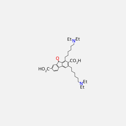 CCN(CC)CCCCCCc1cc2c(c(CCCCCCN(CC)CC)c1C(=O)O)C(=O)c1cc(C(=O)O)ccc1-2